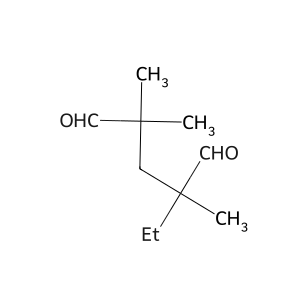 CCC(C)(C=O)CC(C)(C)C=O